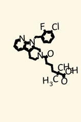 CC(C)(CCCC(=O)N1CCc2c(n(Cc3cccc(Cl)c3F)c3ncccc23)C1)C(=O)O